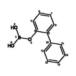 OB(O)Oc1ccccc1-c1ccccc1